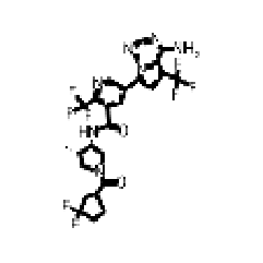 C[C@H]1CN(C(=O)C2CCC(F)(F)C2)C[C@H]1NC(=O)c1cc(-c2cc(C(F)(F)F)c3c(N)ncnn23)cnc1C(F)(F)F